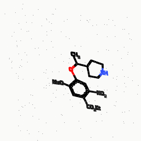 CCOC(=O)c1cc(OC)c(OC(C)C2CCNCC2)cc1[N+](=O)[O-]